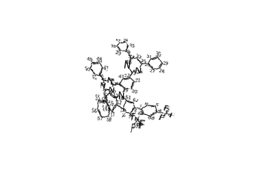 FC(F)(F)c1ccc(-c2ccc3c4ccccc4n(-c4ccc(-c5nc(-c6ccccc6)cc(-c6ccccc6)n5)cc4-c4nc(-c5ccccc5)nc(-c5ccccc5)n4)c3c2)c(C(F)(F)F)c1